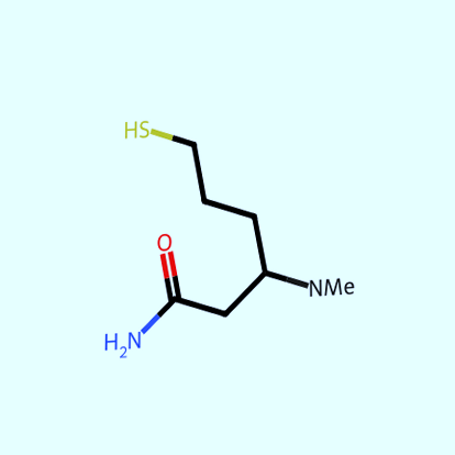 CNC(CCCS)CC(N)=O